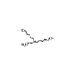 CCCCCCN(CCN)CCCCCC